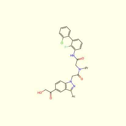 CC(=O)c1nn(CC(=O)N(CC(=O)Nc2cccc(-c3ccccc3Cl)c2F)C(C)C)c2ccc(C(=O)CO)cc12